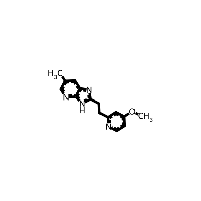 COc1ccnc(CCc2nc3cc(C)cnc3[nH]2)c1